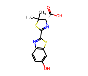 CC1(C)SC(c2nc3ccc(O)cc3s2)=N[C@H]1C(=O)O